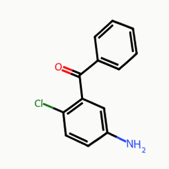 Nc1ccc(Cl)c(C(=O)c2ccccc2)c1